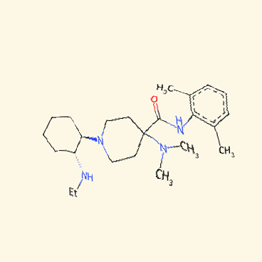 CCN[C@@H]1CCCC[C@H]1N1CCC(C(=O)Nc2c(C)cccc2C)(N(C)C)CC1